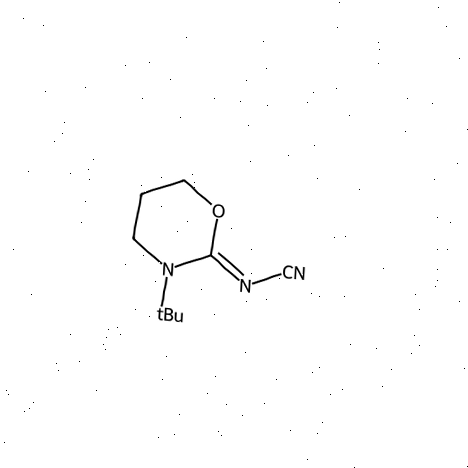 CC(C)(C)N1CCCO/C1=N\C#N